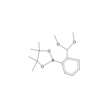 COC(OC)c1ccccc1B1OC(C)(C)C(C)(C)O1